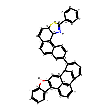 C1=CC2=CC(C(c3ccc4c5c(ccc4c3)C=CC3SC(c4ccccc4)=NC53)=C1)c1cc3oc4ccccc4c3c3cccc2c13